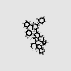 C=CC1=C(/C=C\C)c2cc3ccsc3cc2[C@]12c1ccccc1Oc1cc(-c3nc(-c4ccccc4)nc(-c4ccccc4-c4ccccc4)n3)ccc12